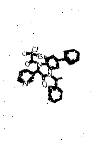 C[C@H](NC(=O)C(c1cccnc1)N(C(=O)C(Cl)(Cl)Br)c1ccc(-c2ccccc2)cc1)c1ccccc1